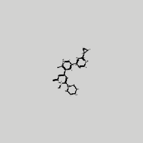 C=C/C=C(\C=C(/N(C)C)N1CCCCC1)c1cc(-c2ccnc(C3CC3)c2)cnc1C